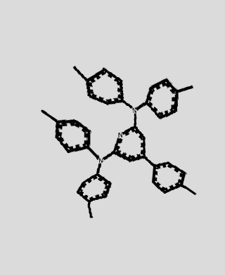 Cc1ccc(-c2cc(N(c3ccc(C)cc3)c3ccc(C)cc3)nc(N(c3ccc(C)cc3)c3ccc(C)cc3)c2)cc1